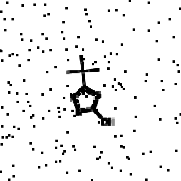 CC(C)(C)c1nnc(O)s1